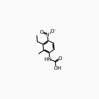 CCc1c([N+](=O)[O-])ccc(NC(=O)O)c1C